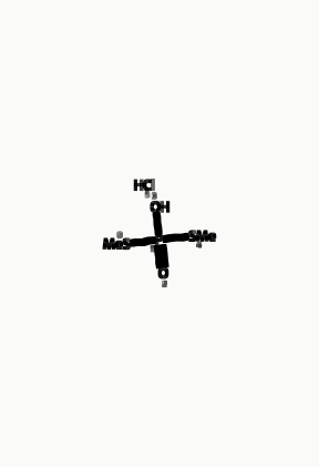 CSP(=O)(O)SC.Cl